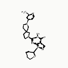 CCn1c(N2CCC3(CCN(c4ccnc(C(F)(F)F)c4)C3)C2)nc2c(cnn2C2CCCCO2)c1=O